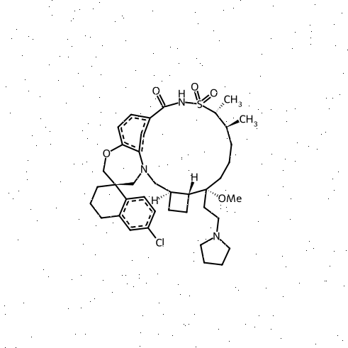 CO[C@@]1(CCN2CCCC2)CCC[C@H](C)[C@@H](C)S(=O)(=O)NC(=O)c2ccc3c(c2)N(C[C@@H]2CC[C@H]21)C[C@@]1(CCCc2cc(Cl)ccc21)CO3